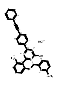 Cc1cccc(COc2cccc(C(F)(F)F)c2-c2nc(O)nc(-c3ccc(C#Cc4ccccc4)cc3)n2)n1.Cl